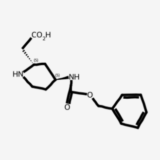 O=C(O)C[C@@H]1C[C@@H](NC(=O)OCc2ccccc2)CCN1